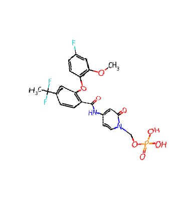 COc1cc(F)ccc1Oc1cc(C(C)(F)F)ccc1C(=O)Nc1ccn(COP(=O)(O)O)c(=O)c1